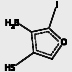 Bc1c(S)coc1I